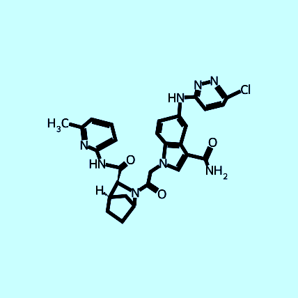 Cc1cccc(NC(=O)[C@@H]2[C@@H]3CCC(C3)N2C(=O)Cn2cc(C(N)=O)c3cc(Nc4ccc(Cl)nn4)ccc32)n1